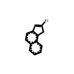 CCC1=Cc2ccc3ccccc3c2C1